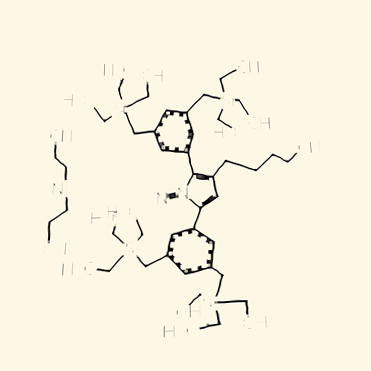 CCCCCC1=C(c2cc(C[Si](CC)(CC)CC)cc(C[Si](CC)(CC)CC)c2)[N+](=[N-])C(c2cc(C[Si](CC)(CC)CC)cc(C[Si](CC)(CC)CC)c2)=C1.CC[CH2][Ni][CH2]CC